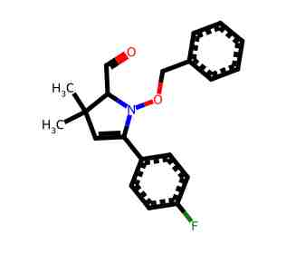 CC1(C)C=C(c2ccc(F)cc2)N(OCc2ccccc2)C1C=O